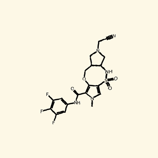 Cn1cc2c(c1C(=O)Nc1cc(F)c(F)c(F)c1)OCC1CN(CC#N)CC1NS2(=O)=O